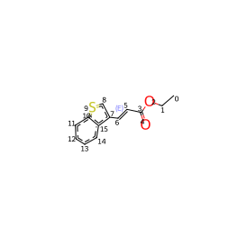 CCOC(=O)/C=C/c1csc2ccccc12